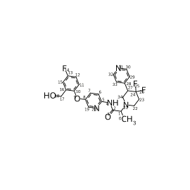 CC(C(=O)Nc1ccc(Oc2ccc(F)cc2CO)cn1)N1CCC(F)(F)C(c2ccncc2)C1